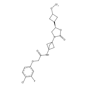 O=C(COc1ccc(Cl)c(F)c1)NC12CC(N3C[C@@H](C4CC(OC(F)(F)F)C4)OC3=O)(C1)C2